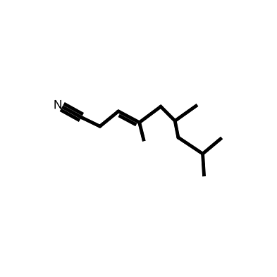 C/C(=C\CC#N)CC(C)CC(C)C